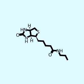 CCCNC(=O)CCCC[C@@H]1SC[C@@H]2NC(=O)N[C@@H]21